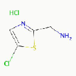 Cl.NCc1ncc(Cl)s1